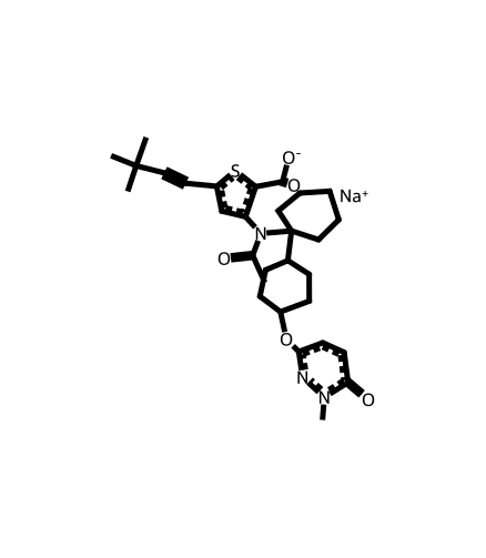 CC(=O)N(c1cc(C#CC(C)(C)C)sc1C(=O)[O-])C1(C2CCC(Oc3ccc(=O)n(C)n3)CC2)CCCCC1.[Na+]